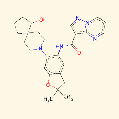 CC1(C)Cc2cc(NC(=O)c3cnn4cccnc34)c(N3CCC4(CCCC4O)CC3)cc2O1